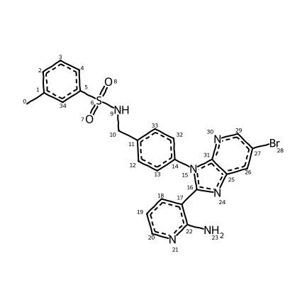 Cc1cccc(S(=O)(=O)NCc2ccc(-n3c(-c4cccnc4N)nc4cc(Br)cnc43)cc2)c1